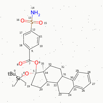 CC(C)(C)[Si](C)(C)O[C@@]1(OC(=O)c2ccc(S(N)(=O)=O)cc2)CCC2C3CCc4ccccc4C3CC[C@@]21C